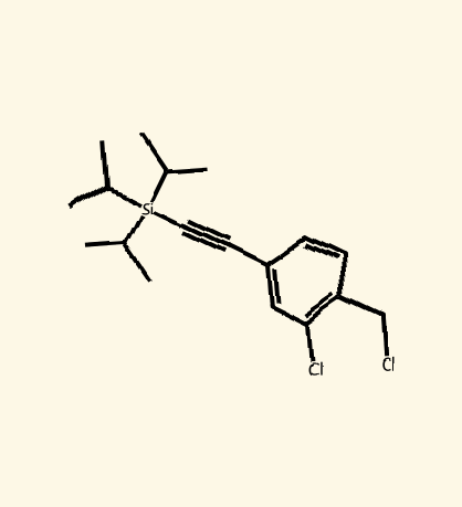 CC(C)[Si](C#Cc1ccc(CCl)c(Cl)c1)(C(C)C)C(C)C